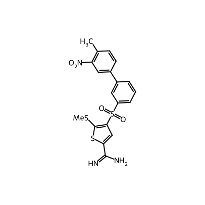 CSc1sc(C(=N)N)cc1S(=O)(=O)c1cccc(-c2ccc(C)c([N+](=O)[O-])c2)c1